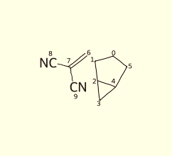 C1CC2CC2C1.C=C(C#N)C#N